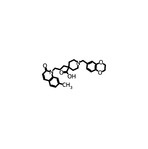 Cc1ccc2ccc(=O)n(CCCC3(C(=O)O)CCN(Cc4ccc5c(c4)OCCO5)CC3)c2c1